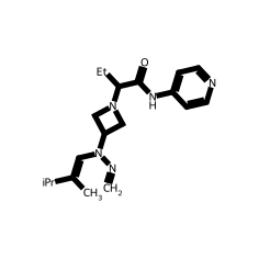 C=NN(/C=C(\C)C(C)C)C1CN(C(CC)C(=O)Nc2ccncc2)C1